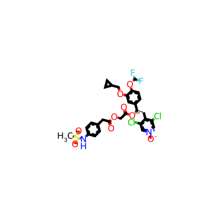 CS(=O)(=O)Nc1ccc(CC(=O)OCC(=O)O[C@@H](Cc2c(Cl)c[n+]([O-])cc2Cl)c2ccc(OC(F)F)c(OCC3CC3)c2)cc1